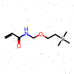 C=CC(=O)NCOCC[Si](C)(C)C